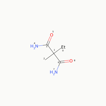 CCC(C)(C(N)=O)C(N)=O